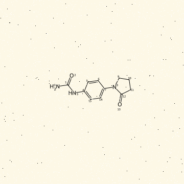 NC(=O)Nc1ccc(N2CCCC2=O)cc1